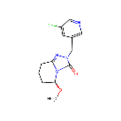 O=C(O)O[C@H]1CCCc2nn(Cc3cncc(Cl)c3)c(=O)n21